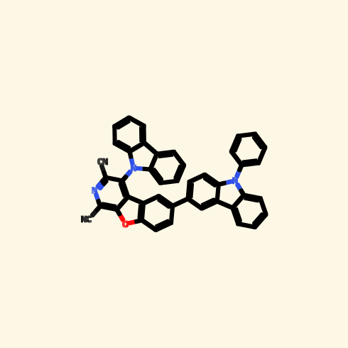 N#Cc1nc(C#N)c2oc3ccc(-c4ccc5c(c4)c4ccccc4n5-c4ccccc4)cc3c2c1-n1c2ccccc2c2ccccc21